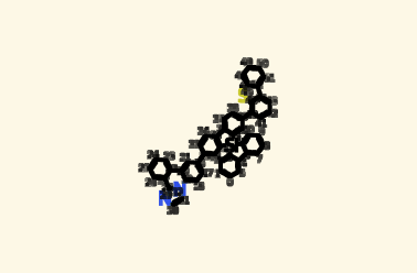 c1ccc2c(c1)-c1ccccc1[Si]21c2cc(-c3ccc4c(c3)c3ccccc3c3nccn43)ccc2-c2ccc(-c3cccc4c3sc3ccccc34)cc21